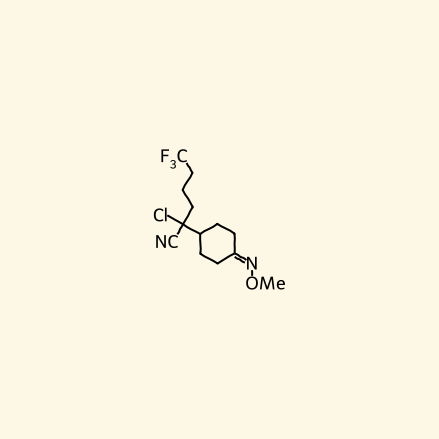 CON=C1CCC(C(Cl)(C#N)CCCC(F)(F)F)CC1